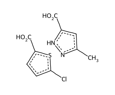 Cc1cc(C(=O)O)[nH]n1.O=C(O)c1ccc(Cl)s1